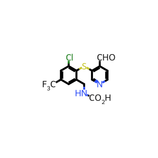 O=Cc1ccncc1Sc1c(Cl)cc(C(F)(F)F)cc1CNC(=O)O